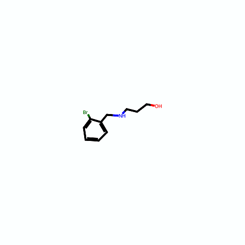 OCCCNCc1ccccc1Br